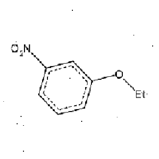 C[CH]Oc1cccc([N+](=O)[O-])c1